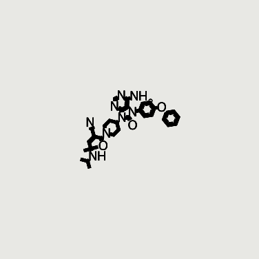 CC(C)NC(C)(C)/C=C(/C#N)C(=O)N1CCC(n2c(=O)n(-c3ccc(Oc4ccccc4)cc3)c3c(N)ncnc32)CC1